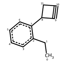 CCc1ccccc1C1C#CC1